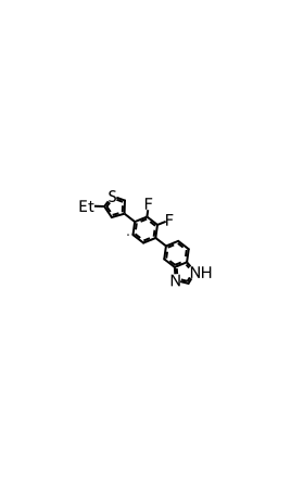 CCc1cc(-c2[c]cc(-c3ccc4[nH]cnc4c3)c(F)c2F)cs1